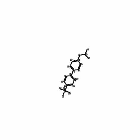 CC(C)Cc1ccc(-c2ccc(S(C)(C)C)cn2)cc1